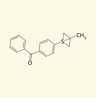 CC12CS1(c1ccc(C(=O)c3ccccc3)cc1)C2